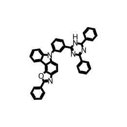 c1ccc(C2=NC(c3ccccc3)NC(c3cccc(-n4c5ccccc5c5c6oc(-c7ccccc7)nc6ccc54)c3)=N2)cc1